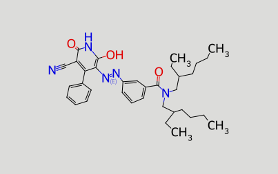 CCCCC(CC)CN(CC(CC)CCCC)C(=O)c1cccc(/N=N/c2c(O)[nH]c(=O)c(C#N)c2-c2ccccc2)c1